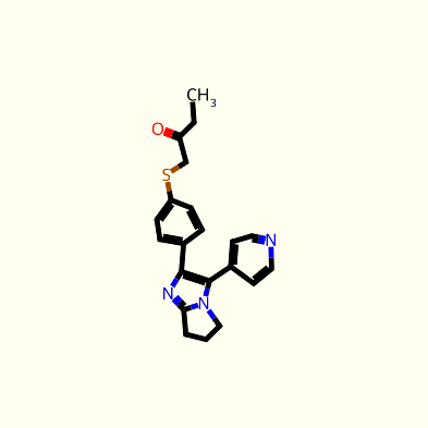 CCC(=O)CSc1ccc(-c2nc3n(c2-c2ccncc2)CCC3)cc1